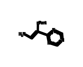 CCCCCC(=CN)c1ncncn1